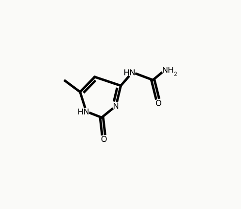 Cc1cc(NC(N)=O)nc(=O)[nH]1